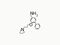 NCc1ccc(-c2ccccc2)c(OCCCN2CCCC2)c1